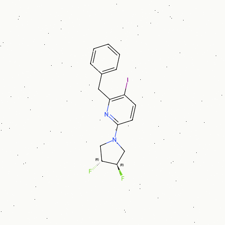 F[C@@H]1CN(c2ccc(I)c(Cc3ccccc3)n2)C[C@H]1F